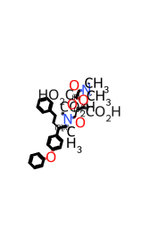 C[C@H]([C@H](CCc1ccccc1)c1ccc(Oc2ccccc2)cc1)N(CC(=O)O)C(=O)[C@H]1O[C@](C(=O)O)(C(=O)N(C)C)O[C@@H]1C(=O)O